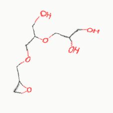 OCC(O)COC(CO)COCC1CO1